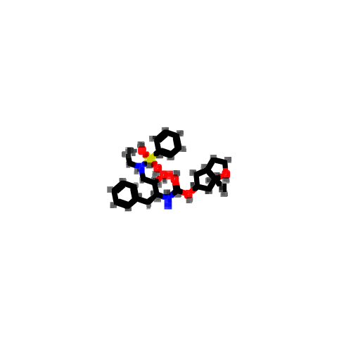 CC(C)CN(C[C@@H](O)[C@H](Cc1ccccc1)NC(=O)OC1CC2CCO[C@@H]2C1)S(=O)(=O)c1ccccc1